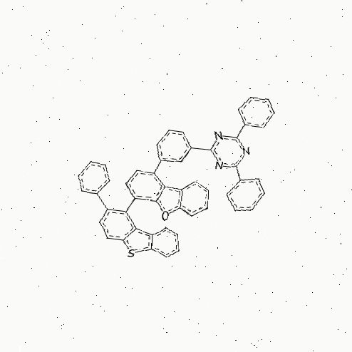 c1ccc(-c2nc(-c3ccccc3)nc(-c3cccc(-c4ccc(-c5c(-c6ccccc6)ccc6sc7ccccc7c56)c5oc6ccccc6c45)c3)n2)cc1